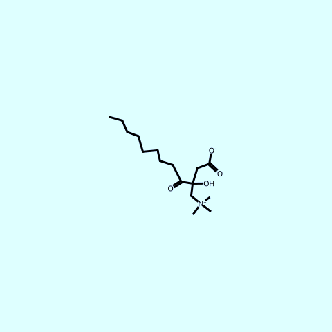 CCCCCCCCC(=O)C(O)(CC(=O)[O-])C[N+](C)(C)C